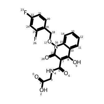 O=C(O)CNC(=O)c1c(O)c2ccccc2n(OCc2ccc(F)cc2F)c1=O